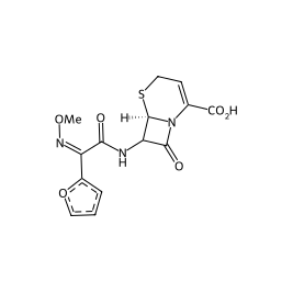 CO/N=C(\C(=O)NC1C(=O)N2C(C(=O)O)=CCS[C@H]12)c1ccco1